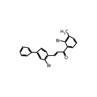 Cc1cccc(C(=O)/C=C/c2ccc(-c3ccccc3)cc2Br)c1Br